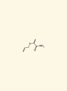 C=CCSC(=C)C(N)=O